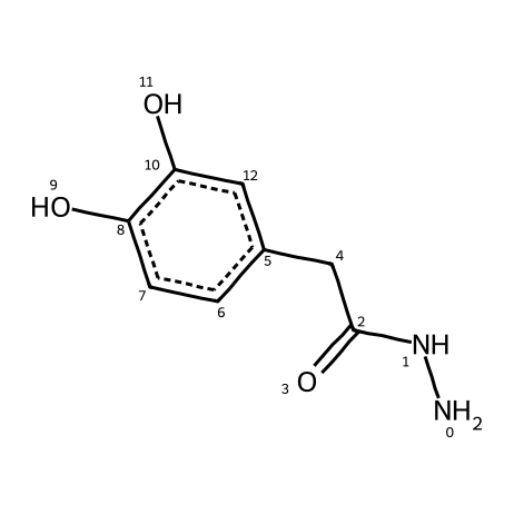 NNC(=O)Cc1ccc(O)c(O)c1